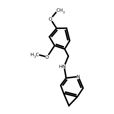 COc1ccc(CNc2cc3c(cn2)C3)c(OC)c1